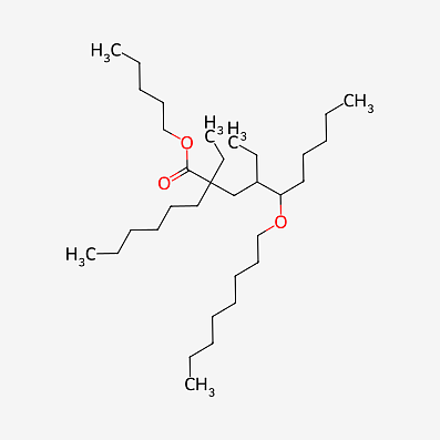 CCCCCCCCOC(CCCCC)C(CC)CC(CC)(CCCCCC)C(=O)OCCCCC